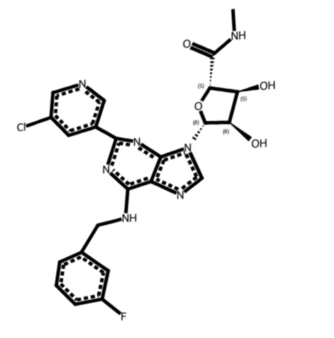 CNC(=O)[C@H]1O[C@@H](n2cnc3c(NCc4cccc(F)c4)nc(-c4cncc(Cl)c4)nc32)[C@H](O)[C@@H]1O